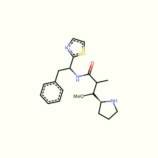 COC(C(C)C(=O)NC(Cc1ccccc1)c1nccs1)[C@@H]1CCCN1